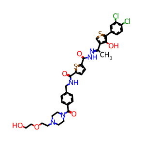 C/C(=N\NC(=O)c1ccc(C(=O)NCc2ccc(C(=O)N3CCN(CCOCCO)CC3)cc2)s1)c1csc(-c2ccc(Cl)c(Cl)c2)c1O